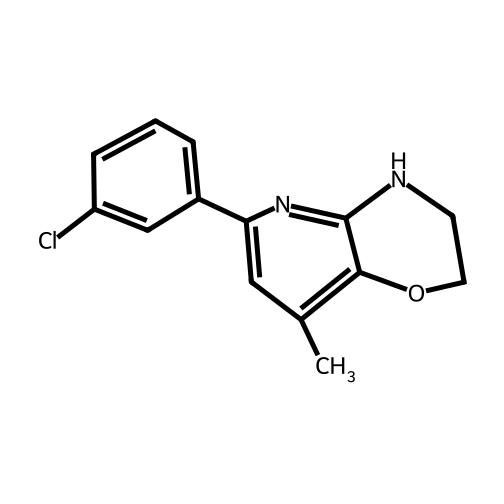 Cc1cc(-c2cccc(Cl)c2)nc2c1OCCN2